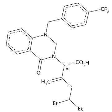 C=C(CC(CC)CC)[C@@H](C(=O)O)N1CN(Cc2ccc(C(F)(F)F)cc2)c2ccccc2C1=O